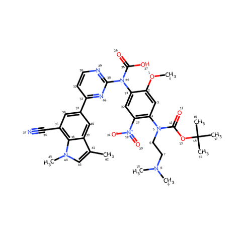 COc1cc(N(CCN(C)C)C(=O)OC(C)(C)C)c([N+](=O)[O-])cc1N(C(=O)O)c1nccc(-c2cc(C#N)c3c(c2)c(C)cn3C)n1